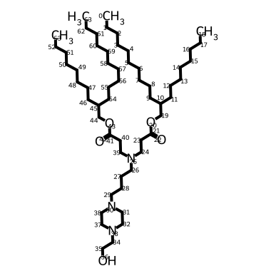 CCCCCCCCCCC(CCCCCCCC)COC(=O)CCN(CCCCN1CCN(CCO)CC1)CCC(=O)OCC(CCCCCCCC)CCCCCCCCCC